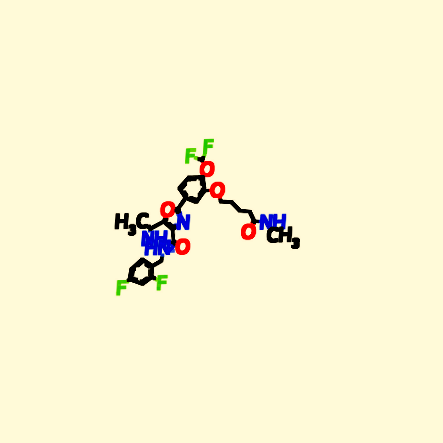 CNC(=O)CCCCOc1cc(-c2nc(C(=O)NCc3ccc(F)cc3F)c([C@H](C)N)o2)ccc1OC(F)F